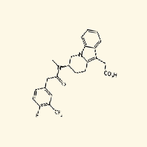 CN(C(=O)Cc1ccc(F)c(C(F)(F)F)c1)[C@@H]1CCc2c(CC(=O)O)c3ccccc3n2C1